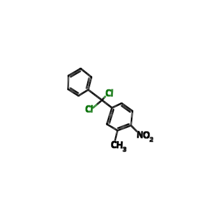 Cc1cc(C(Cl)(Cl)c2ccccc2)ccc1[N+](=O)[O-]